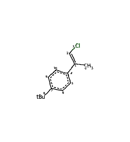 CC(=CCl)c1ccc(C(C)(C)C)cc1